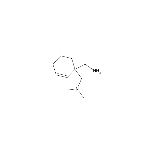 CN(C)CC1(CN)C=CCCC1